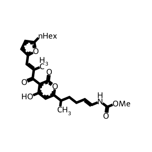 CCCCCCc1ccc(/C=C(\C)C(=O)c2c(O)cc(C(C)CC/C=C/NC(=O)OC)oc2=O)o1